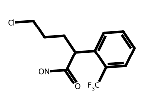 O=NC(=O)C(CCCCl)c1ccccc1C(F)(F)F